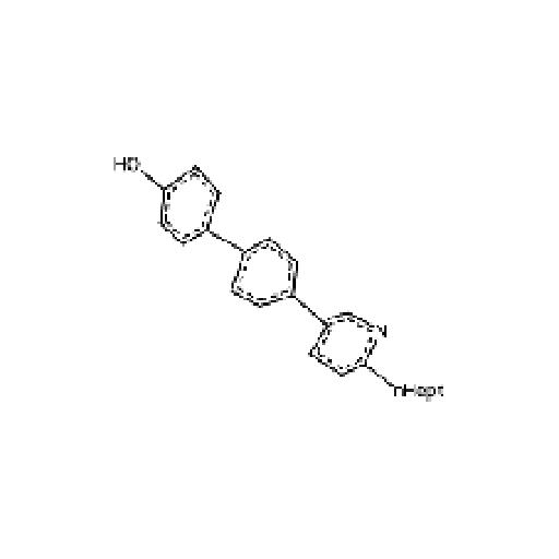 CCCCCCCc1ccc(-c2ccc(-c3ccc(O)cc3)cc2)cn1